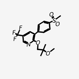 COC(C)(C)COc1ncc(C(F)(F)F)cc1-c1ccc(S(C)(=O)=O)cc1